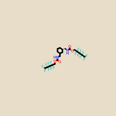 O=C(NCC1CCC[C@H](CNC(=O)OCC(F)(F)C(F)(F)C(F)(F)C(F)F)C1)OCC(F)(F)C(F)(F)C(F)(F)C(F)F